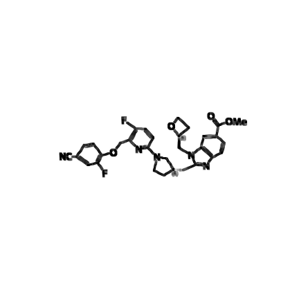 COC(=O)c1ccc2nc(C[C@@H]3CCN(c4ccc(F)c(COc5ccc(C#N)cc5F)n4)C3)n(C[C@@H]3CCO3)c2c1